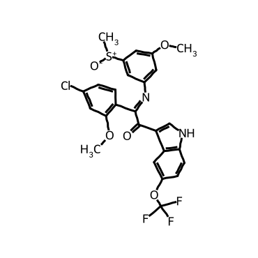 COc1cc(/N=C(/C(=O)c2c[nH]c3ccc(OC(F)(F)F)cc23)c2ccc(Cl)cc2OC)cc([S+](C)[O-])c1